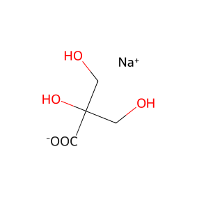 O=C([O-])C(O)(CO)CO.[Na+]